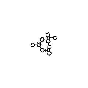 c1ccc(-c2cc(-c3cccc(-n4c5ccccc5c5ccc(-c6ccc7c8ccccc8n(-c8ccccc8)c7c6)cc54)c3)cc(-c3ccccc3)n2)cc1